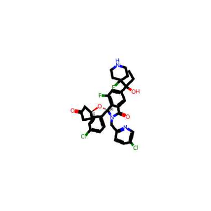 CCC(O)(c1cc(F)c2c(c1)C(=O)N(Cc1ccc(Cl)cn1)[C@@]2(O[C@H]1CCC(=O)C1)c1ccc(Cl)cc1)C1(F)CCNCC1